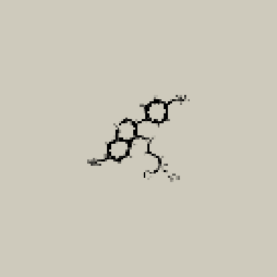 COc1ccc(-c2cnc3cc(OC)ccc3c2OCCN(C)C)cc1